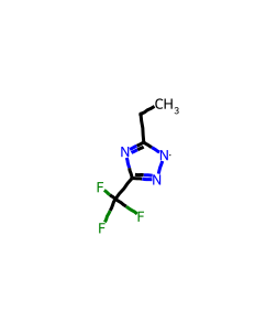 CCC1=NC(C(F)(F)F)=N[N]1